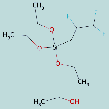 CCO.CCO[Si](CC(F)C(F)F)(OCC)OCC